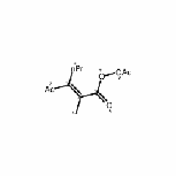 CCCC(C(C)=O)=C(C)C(=O)OOC(C)=O